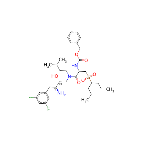 CCCC(CCC)S(=O)(=O)CC(NC(=O)OCc1ccccc1)C(=O)N(CCC(C)C)C[C@@H](O)[C@@H](N)Cc1cc(F)cc(F)c1